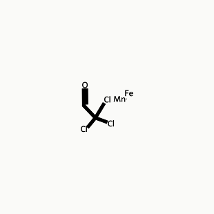 O=CC(Cl)(Cl)Cl.[Fe].[Mn]